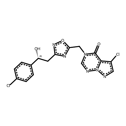 O=c1c2c(Cl)cnn2ncn1Cc1nc(C[C@@H](O)c2ccc(Cl)cc2)no1